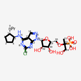 CCC[C@H]1CCC[C@@H]1Nc1nc(Cl)nc2c1cnn2[C@@H]1O[C@H](COC(C)(CO)P(=O)(O)O)[C@@H](O)[C@H]1O